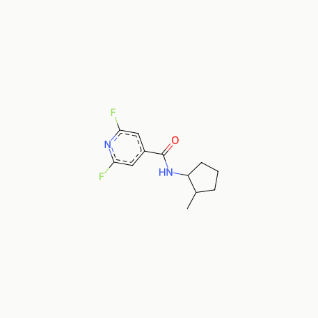 CC1CCCC1NC(=O)c1cc(F)nc(F)c1